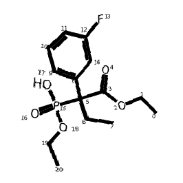 CCOC(=O)C(CC)(c1cccc(F)c1)P(=O)(O)OCC